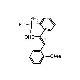 COc1ccccc1/C=C(\C=O)c1ccccc1C(F)(P)C(F)(F)F